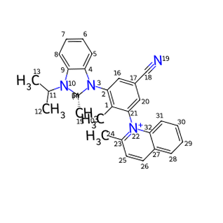 Cc1c(N2c3ccccc3N(C(C)C)[C@H]2C)cc(C#N)cc1-[n+]1c(C)ccc2ccccc21